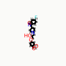 OC(COc1ccc2c(c1)OCO2)CN1CCC(c2noc3cc(F)ccc23)CC1